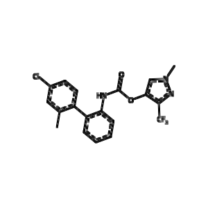 Cc1cc(Cl)ccc1-c1ccccc1NC(=O)Oc1cn(C)nc1C(F)(F)F